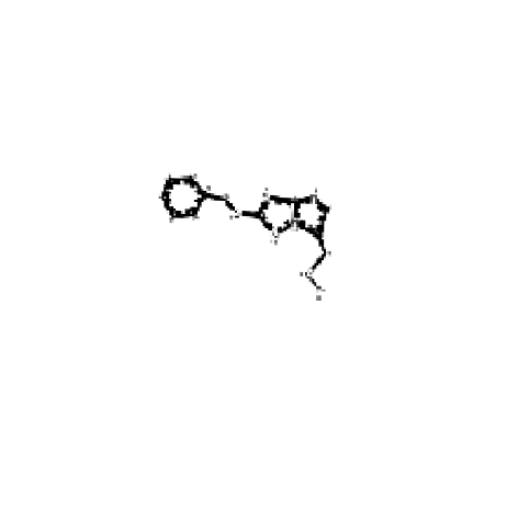 CCOCc1cnc2sc(SCc3ccccc3)nn12